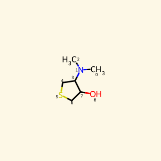 CN(C)C1CSCC1O